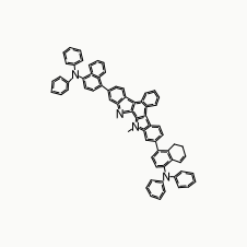 Cn1c2cc(-c3ccc(N(c4ccccc4)c4ccccc4)c4c3CCC=C4)ccc2c2c3ccccc3c3c4ccc(-c5ccc(N(c6ccccc6)c6ccccc6)c6ccccc56)cc4n(C)c3c21